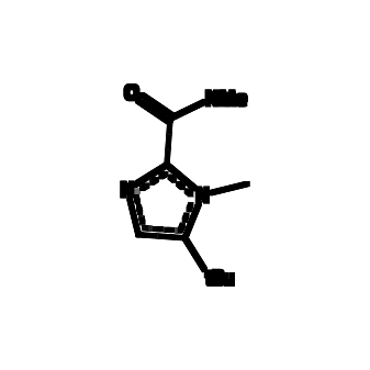 CNC(=O)c1ncc(C(C)(C)C)n1C